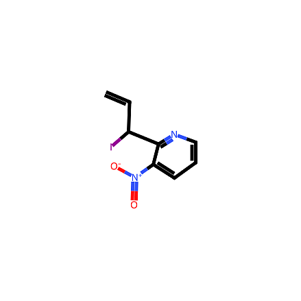 C=CC(I)c1ncccc1[N+](=O)[O-]